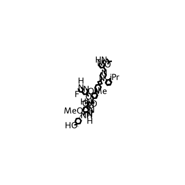 COc1cc(S(=O)(=O)NC(=O)c2ccc(N3CCC4(CC3)CC(N3CCN(Cc5ccnc6c5OC(C)CN6)C[C@H]3c3ccccc3C(C)C)C4)cc2Oc2cc3c(F)c[nH]c3nc2OC)c2nc[nH]c2c1NC[C@H]1CC[C@](C)(O)CC1